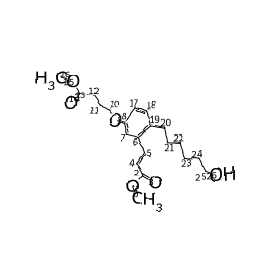 COC(=O)C=Cc1cc(OCCCC(=O)OC)ccc1CCCCCCO